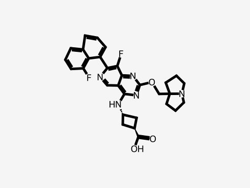 O=C(O)[C@H]1C[C@H](Nc2nc(OCC34CCCN3CCC4)nc3c(F)c(-c4cccc5cccc(F)c45)ncc23)C1